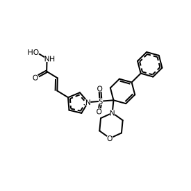 O=C(C=Cc1ccn(S(=O)(=O)C2(N3CCOCC3)C=CC(c3ccccc3)=CC2)c1)NO